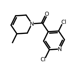 CC1C=CCN(C(=O)c2cc(Cl)ncc2Cl)C1